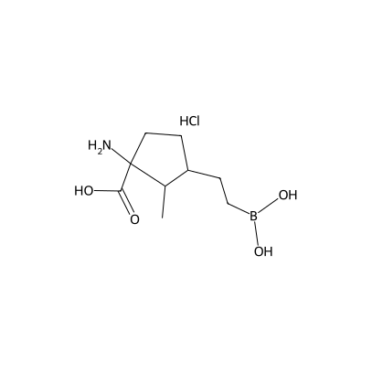 CC1C(CCB(O)O)CCC1(N)C(=O)O.Cl